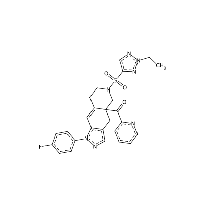 CCn1ncc(S(=O)(=O)N2CCC3=Cc4c(cnn4-c4ccc(F)cc4)CC3(C(=O)c3ccccn3)C2)n1